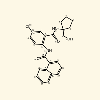 O=C(NC1(CO)CCCC1)c1cc(Cl)ccc1NC(=O)c1cccc2ccccc12